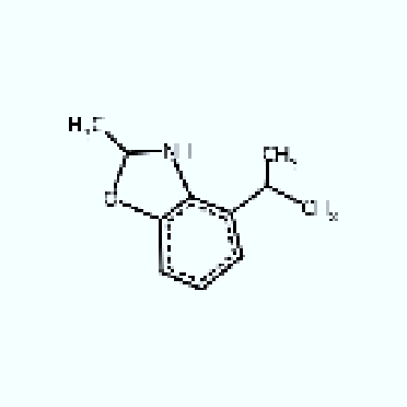 CC1Nc2c(cccc2C(C)C)O1